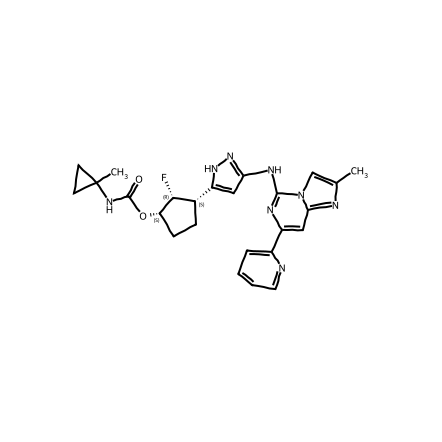 Cc1cn2c(Nc3cc([C@@H]4CC[C@H](OC(=O)NC5(C)CC5)[C@@H]4F)[nH]n3)nc(-c3ccccn3)cc2n1